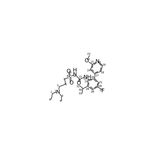 CCN(CC)CCCS(=O)(=O)NC(=O)Nc1c(-c2ccnc(OC)c2)cc(F)cc1C(C)C